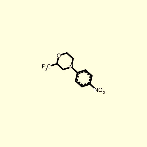 O=[N+]([O-])c1ccc(N2CCOC(C(F)(F)F)C2)cc1